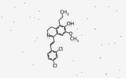 CCCc1c(O)c(OC)cc2c1CCN=C2C=Cc1ccc(Cl)cc1Cl